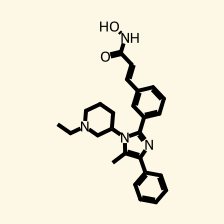 CCN1CCCC(n2c(-c3cccc(C=CC(=O)NO)c3)nc(-c3ccccc3)c2C)C1